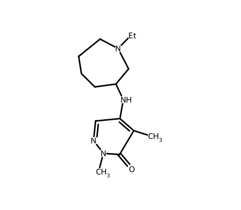 CCN1CCCCC(Nc2cnn(C)c(=O)c2C)C1